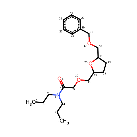 CCCN(CCC)C(=O)COCC1CCC(COCc2ccccc2)O1